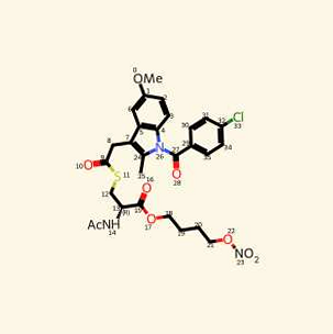 COc1ccc2c(c1)c(CC(=O)SC[C@H](NC(C)=O)C(=O)OCCCCO[N+](=O)[O-])c(C)n2C(=O)c1ccc(Cl)cc1